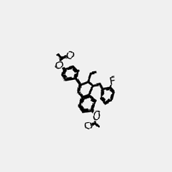 CCC1C(c2ccc(OC(C)=O)cc2)Cc2ccc(OC(C)=O)cc2C1Cc1ccccc1F